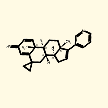 C[C@]12C=CC(=N)C=C1C1(CC1)C[C@@H]1[C@@H]2CC[C@]2(C)C(c3cccnc3)=CC[C@@H]12